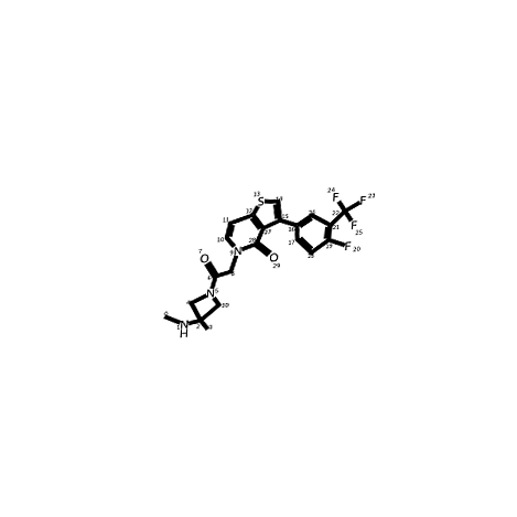 CNC1(C)CN(C(=O)Cn2ccc3scc(-c4ccc(F)c(C(F)(F)F)c4)c3c2=O)C1